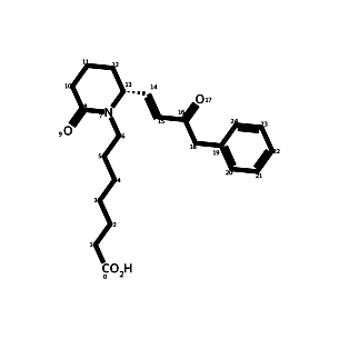 O=C(O)CCCCCCN1C(=O)CCC[C@@H]1/C=C/C(=O)Cc1ccccc1